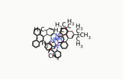 C=C/C(=C\C=C/C)c1cccc(C2=CC(C(C)(C)C)CC(C(C)(C)C)=C2)c1[N+]12c3ccccc3[N+]13C1=C4C(c5c(c6ccccc6c6ccccc56)-c5ccc6c7ccccc7n7c6c5[N+]4(C32)[n+]2ccccc2-7)C(C)C=C1